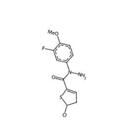 COc1ccc(N(N)C(=O)C2=CCC(Cl)S2)cc1F